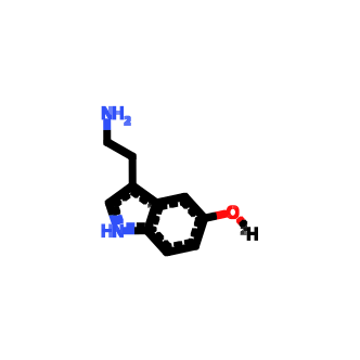 [2H]Oc1ccc2[nH]cc(CCN)c2c1